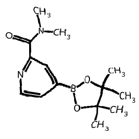 CN(C)C(=O)c1cc(B2OC(C)(C)C(C)(C)O2)ccn1